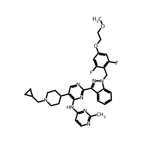 COCCOc1cc(F)c(Cn2nc(-c3ncc(C4CCN(CC5CC5)CC4)c(Nc4ccnc(C)n4)n3)c3ccccc32)c(F)c1